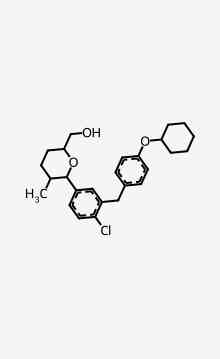 CC1CCC(CO)OC1c1ccc(Cl)c(Cc2ccc(OC3CCCCC3)cc2)c1